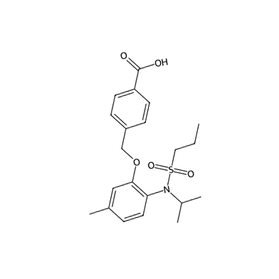 CCCS(=O)(=O)N(c1ccc(C)cc1OCc1ccc(C(=O)O)cc1)C(C)C